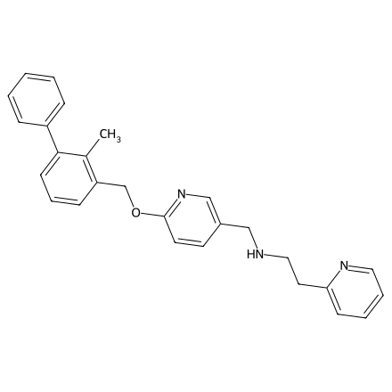 Cc1c(COc2ccc(CNCCc3ccccn3)cn2)cccc1-c1ccccc1